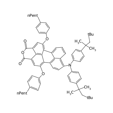 CCCCCc1ccc(Oc2cc3c4c(cc(Oc5ccc(CCCCC)cc5)c5c6ccc(N(c7ccc(C(C)(C)CC(C)(C)C)cc7)c7ccc(C(C)(C)CC(C)(C)C)cc7)c7cccc(c2c45)c76)C(=O)OC3=O)cc1